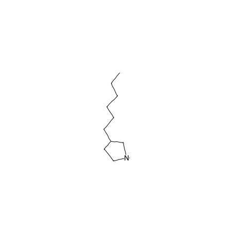 CCCCCCC1CC[N]C1